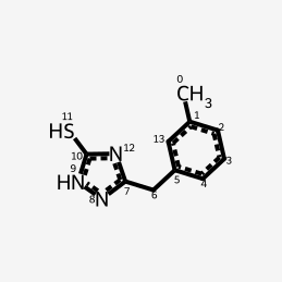 Cc1cccc(Cc2n[nH]c(S)n2)c1